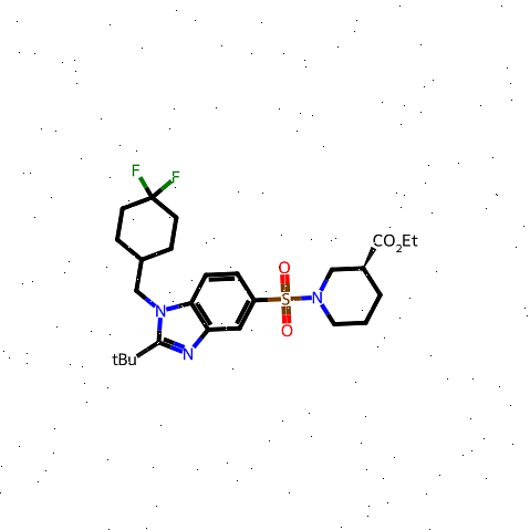 CCOC(=O)[C@H]1CCCN(S(=O)(=O)c2ccc3c(c2)nc(C(C)(C)C)n3CC2CCC(F)(F)CC2)C1